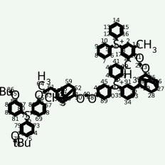 Cc1cc([S+](c2ccccc2)c2ccccc2)cc(C)c1OCOC1C2CC3CC(C2)C(c2cccc([S+](c4ccccc4)c4ccc(OCOC5C6CC7CC5CC(C6)C7CC(C)(C)Oc5cccc([S+](c6cccc(OC(C)(C)C)c6)c6cccc(OC(C)(C)C)c6)c5)cc4)c2)C1C3